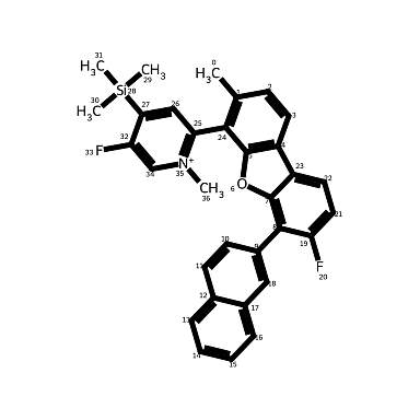 Cc1ccc2c(oc3c(-c4ccc5ccccc5c4)c(F)ccc32)c1-c1cc([Si](C)(C)C)c(F)c[n+]1C